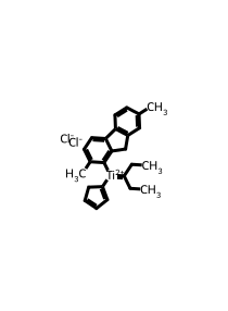 CC[C](CC)=[Ti+2]([C]1=CC=CC1)[c]1c(C)ccc2c1Cc1cc(C)ccc1-2.[Cl-].[Cl-]